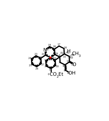 CCOC(=O)c1cccc(C23CC(=CO)C(=O)[C@@H](C)[C@@H]2CCc2cnc(-c4ccccc4)nc23)c1